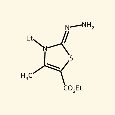 CCOC(=O)c1sc(=NN)n(CC)c1C